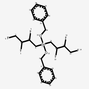 FCC(F)C(F)[CH2][Sn]([CH2]C(F)C(F)CF)([O]Cc1ccccc1)[O]Cc1ccccc1